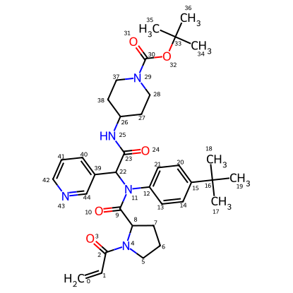 C=CC(=O)N1CCCC1C(=O)N(c1ccc(C(C)(C)C)cc1)C(C(=O)NC1CCN(C(=O)OC(C)(C)C)CC1)c1cccnc1